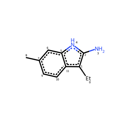 CCc1c(N)[nH]c2cc(C)ccc12